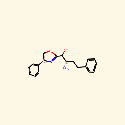 N[C@@H](CCc1ccccc1)C(O)C1=N[C@@H](c2ccccc2)CO1